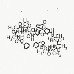 CC(NC(=O)OCc1ccccc1)C(=O)NC(C)C(=O)NC(C)C(=O)NC(C)C(=O)Nc1ccc2c(c1)Oc1cc(NC(=O)C(C)NC(=O)C(C)NC(=O)C(C)NC(=O)C(C)NC(=O)OCc3ccccc3)ccc1C21OC(=O)c2ccccc21